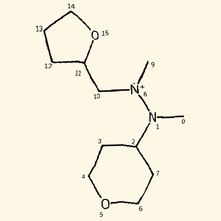 CN(C1CCOCC1)[N+](C)CC1CCCO1